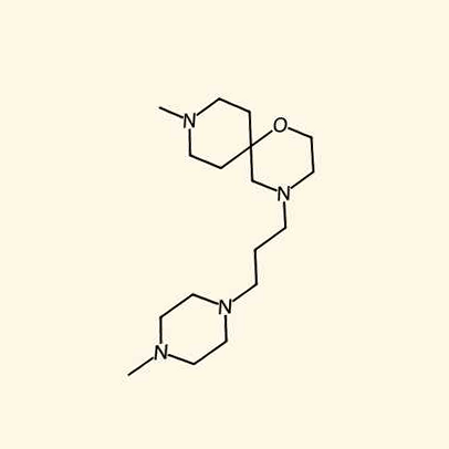 CN1CCN(CCCN2CCOC3(CCN(C)CC3)C2)CC1